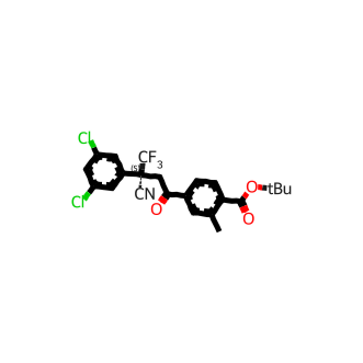 Cc1cc(C(=O)C[C@@](C#N)(c2cc(Cl)cc(Cl)c2)C(F)(F)F)ccc1C(=O)OC(C)(C)C